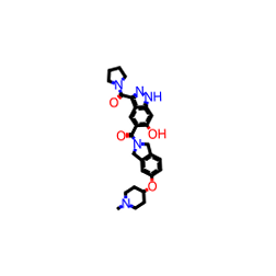 CN1CCC(Oc2ccc3c(c2)CN(C(=O)c2cc4c(C(=O)N5CCCC5)n[nH]c4cc2O)C3)CC1